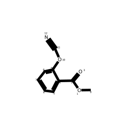 COC(=O)c1ccccc1OC#N